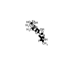 CCC(C)(C[C@H]1O[C@@H](n2cc3c(F)c(C)[nH]c3nc2=O)[C@@H](O)C1O)OP(=O)(O)C(C)(O)CC